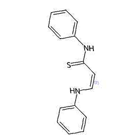 S=C(/C=C\Nc1ccccc1)Nc1ccccc1